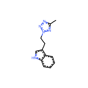 Cc1nnn(CCc2c[nH]c3ccccc23)n1